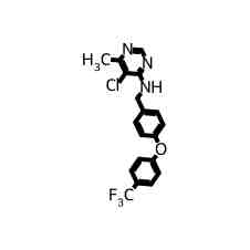 Cc1ncnc(NCc2ccc(Oc3ccc(C(F)(F)F)cc3)cc2)c1Cl